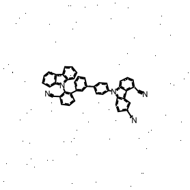 N#Cc1ccc2c(c1)c1c(C#N)cccc1n2-c1ccc(-c2cccc(-c3cccc(C#N)c3-n3c4ccccc4c4ccccc43)c2)cc1